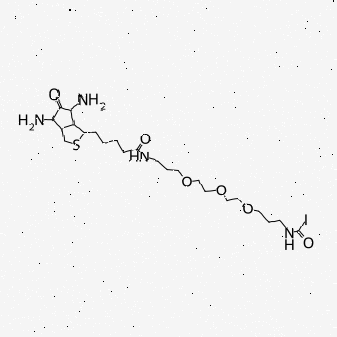 NC1C(=O)C(N)C2C(CCCCC(=O)NCCCOCCOCCOCCCNC(=O)I)SCC12